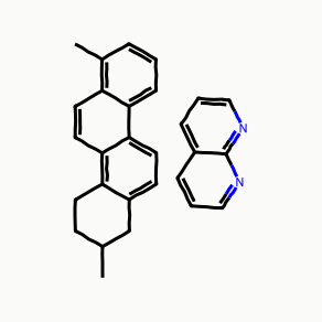 Cc1cccc2c1ccc1c3c(ccc12)CC(C)CC3.c1cnc2ncccc2c1